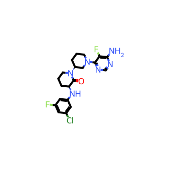 Nc1ncnc(N2CCC[C@@H](N3CCC[C@H](Nc4cc(F)cc(Cl)c4)C3=O)C2)c1F